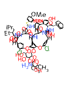 CC[C@@H](CC(C)C)C(=O)N[C@H]1C(=O)C[C@@H](CC(=O)NSc2ccc(OC)cc2)C(=O)N[C@H]2C(=O)C[C@@H]3C(=O)N[C@@H](C(=O)N[C@H](C(=O)CC4C5CC6CC(C5)CC4C6)c4cc(O)cc(O)c4-c4cc3ccc4O)[C@@H](O)c3ccc(c(Cl)c3)Oc3cc2cc(c3O[C@@H]2O[C@H](CO)[C@H](O)[C@H](O)[C@@H]2O[C@H]2C[C@](C)(N)[C@H](O)[C@H](C)O2)Oc2ccc(cc2Cl)[C@H]1O